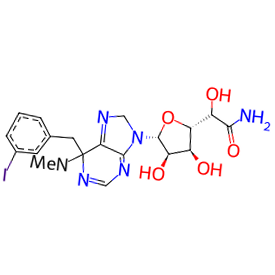 CNC1(Cc2cccc(I)c2)N=CN=C2C1=NCN2[C@@H]1O[C@H](C(O)C(N)=O)[C@@H](O)[C@H]1O